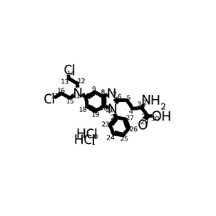 Cl.Cl.NC(CCc1nc2cc(N(CCCl)CCCl)ccc2n1-c1ccccc1)C(=O)O